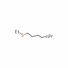 CCCCCC[CH]SCC